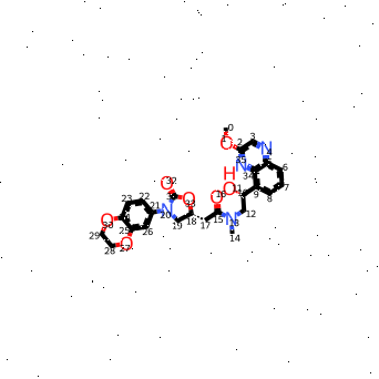 COc1cnc2cccc([C@@H](O)CN(C)C(=O)C[C@@H]3CN(c4ccc5c(c4)OCCO5)C(=O)O3)c2n1